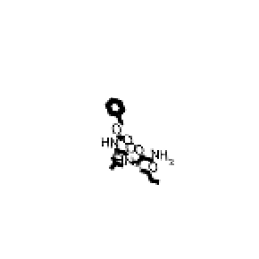 CCCC[C@H](NC(=O)[C@H](CC(C)C)NC(=O)OCc1ccccc1)C(=O)C(N)=O